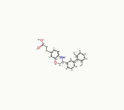 COC(=O)CCc1ccc2c(c1)OCC(c1cccc(-c3c(C)cccc3C)c1)N2